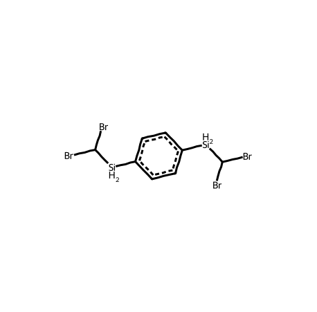 BrC(Br)[SiH2]c1ccc([SiH2]C(Br)Br)cc1